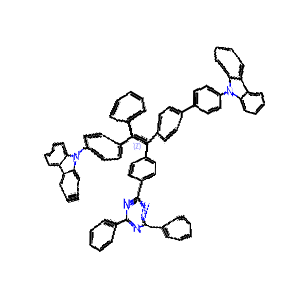 c1ccc(/C(=C(\c2ccc(-c3ccc(-n4c5ccccc5c5ccccc54)cc3)cc2)c2ccc(-c3nc(-c4ccccc4)nc(-c4ccccc4)n3)cc2)c2ccc(-n3c4ccccc4c4ccccc43)cc2)cc1